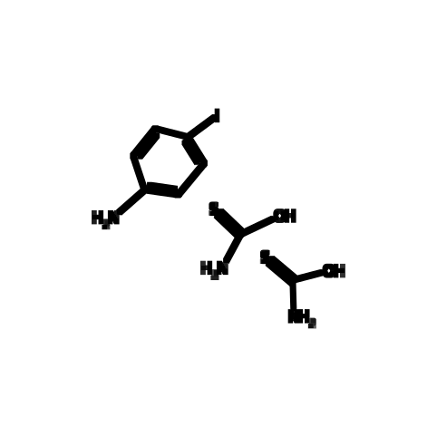 NC(O)=S.NC(O)=S.Nc1ccc(I)cc1